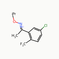 C/C(=N\OC(C)C)c1cc(Cl)ccc1C(F)(F)F